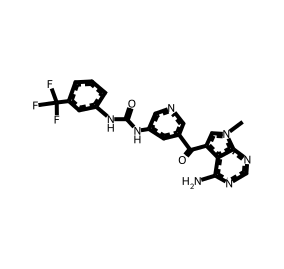 Cn1cc(C(=O)c2cncc(NC(=O)Nc3cccc(C(F)(F)F)c3)c2)c2c(N)ncnc21